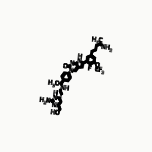 C[C@H](N)CCCc1cc(OC(F)(F)F)c(F)c(-c2cc3cn(-c4ccc([C@H](C)NCC[C@H](CCCO)NC(=N)N)cc4)c(=O)nc3[nH]2)c1